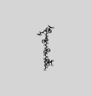 C=C(C)C(=O)OC(CCCCC)CCCCOC(=O)CCCCC(=O)OCCCCC(CCCCC)OC(=O)C(=C)C